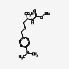 CN(C)c1ccc(CSC[C@@H](NC(=O)OC(C)(C)C)C(=O)O)cc1